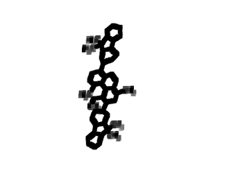 Bc1cc(-c2ccc3c(c2)C(C)(C)c2ccccc2-3)c(C=C)c2c1ccc1c(-c3ccc4c(c3)C(C)(C)c3ccccc3-4)ccc(C)c12